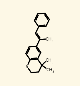 C/C(=C\c1ccccc1)c1ccc2c(c1)C(C)(C)CCS2